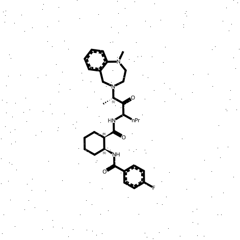 CCCC(NC(=O)[C@@H]1CCCC[C@@H]1NC(=O)c1ccc(F)cc1)C(=O)[C@H](C)N1CCN(C)c2ccccc2C1